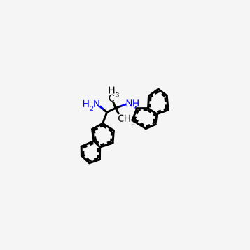 CC(C)(Nc1cccc2ccccc12)C(N)c1ccc2ccccc2c1